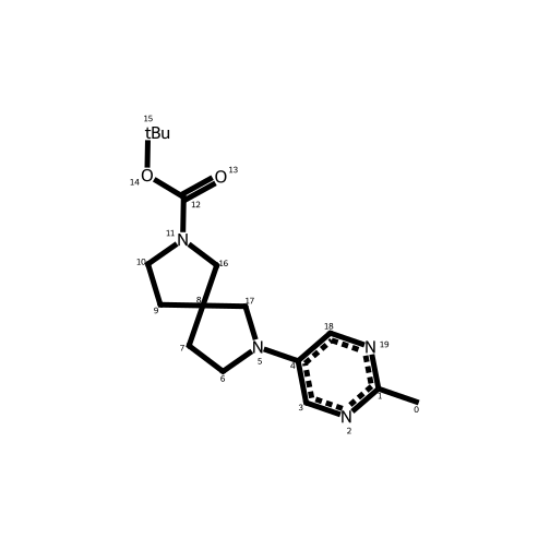 Cc1ncc(N2CCC3(CCN(C(=O)OC(C)(C)C)C3)C2)cn1